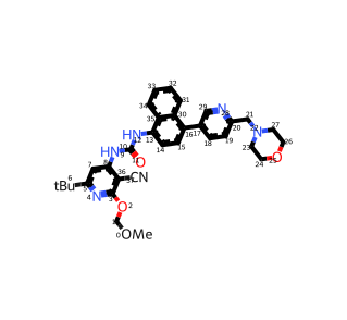 COCOc1nc(C(C)(C)C)cc(NC(=O)Nc2ccc(-c3ccc(CN4CCOCC4)nc3)c3ccccc23)c1C#N